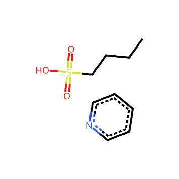 CCCCS(=O)(=O)O.c1ccncc1